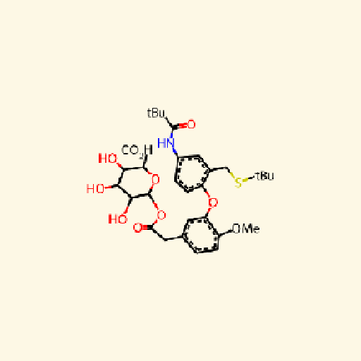 COc1ccc(CC(=O)OC2OC(C(=O)O)C(O)C(O)C2O)cc1Oc1ccc(NC(=O)C(C)(C)C)cc1CSC(C)(C)C